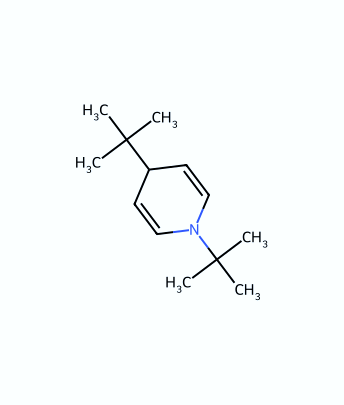 CC(C)(C)C1C=CN(C(C)(C)C)C=C1